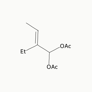 C/C=C(\CC)C(OC(C)=O)OC(C)=O